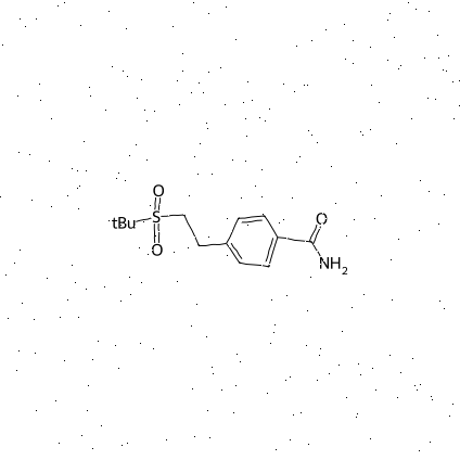 CC(C)(C)S(=O)(=O)CCc1ccc(C(N)=O)cc1